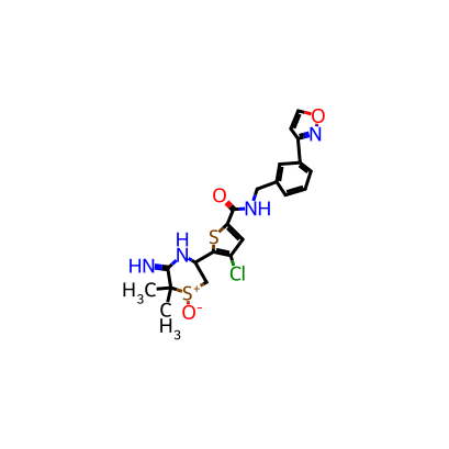 CC1(C)C(=N)NC(c2sc(C(=O)NCc3cccc(-c4ccon4)c3)cc2Cl)C[S+]1[O-]